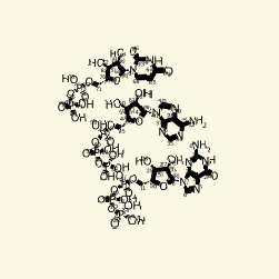 Nc1nc2c(ncn2[C@@H]2O[C@H](COP(=O)(O)OP(=O)(O)OP(=O)(O)O)[C@@H](O)[C@H]2O)c(=O)[nH]1.Nc1ncnc2c1ncn2[C@@H]1O[C@H](COP(=O)(O)OP(=O)(O)OP(=O)(O)O)[C@@H](O)[C@H]1O.O=c1ccn([C@@H]2O[C@H](COP(=O)(O)OP(=O)(O)O)[C@@H](O)[C@H]2O)c(=O)[nH]1